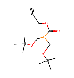 C#CCOC(=O)P(CO[Si](C)(C)C)CO[Si](C)(C)C